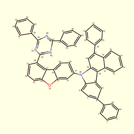 c1ccc(-c2ccc3c(c2)c2c4ccccc4c(-c4ccccc4)cc2n3-c2ccc3c(c2)oc2cccc(-c4nc(-c5ccccc5)nc(-c5ccccc5)n4)c23)cc1